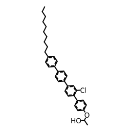 CCCCCCCCCCc1ccc(-c2ccc(-c3ccc(-c4ccc(OC(C)O)cc4)c(Cl)c3)cc2)cc1